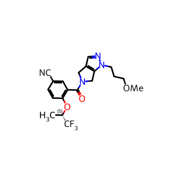 COCCCn1ncc2c1CN(C(=O)c1cc(C#N)ccc1O[C@@H](C)C(F)(F)F)C2